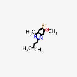 COc1cc2nc(CCC(C)C)nc(C)c2cc1Br